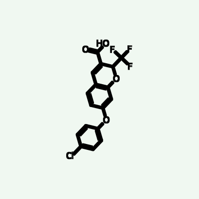 O=C(O)C1=Cc2ccc(Oc3ccc(Cl)cc3)cc2OC1C(F)(F)F